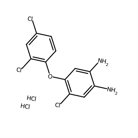 Cl.Cl.Nc1cc(Cl)c(Oc2ccc(Cl)cc2Cl)cc1N